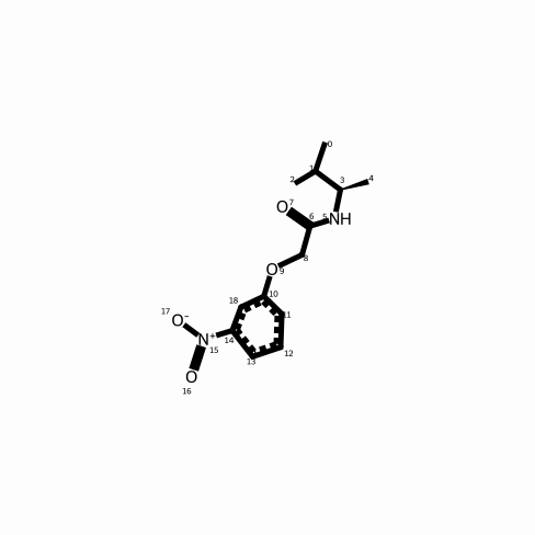 CC(C)[C@@H](C)NC(=O)COc1cccc([N+](=O)[O-])c1